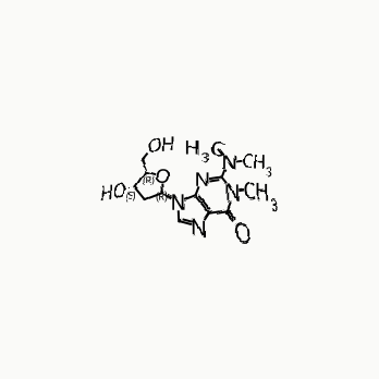 CN(C)c1nc2c(ncn2[C@H]2C[C@H](O)[C@@H](CO)O2)c(=O)n1C